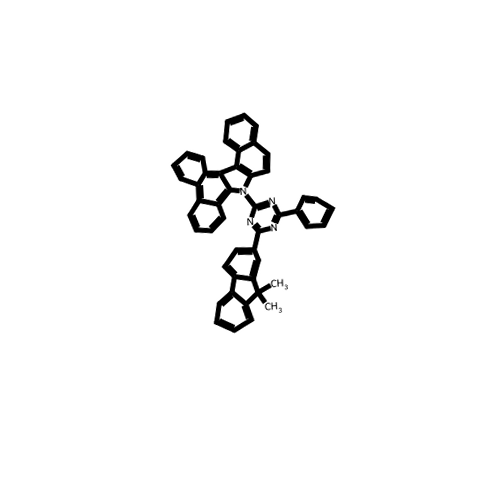 CC1(C)c2ccccc2-c2ccc(-c3nc(-c4ccccc4)nc(-n4c5ccc6ccccc6c5c5c6ccccc6c6ccccc6c54)n3)cc21